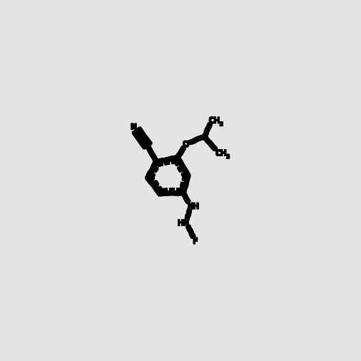 CC(C)Oc1cc(NNF)ccc1C#N